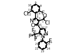 O=C(Cl)c1c(-c2c(F)cccc2Cl)noc1-c1cnn(-c2ccccc2F)c1C(F)(F)F